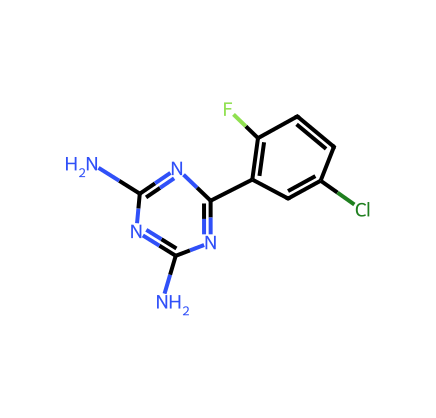 Nc1nc(N)nc(-c2cc(Cl)ccc2F)n1